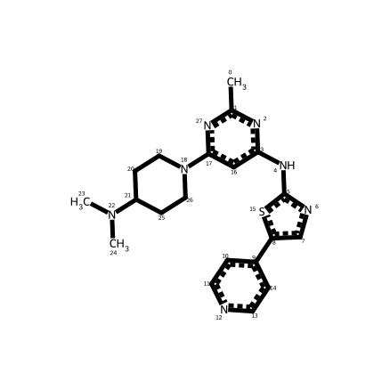 Cc1nc(Nc2ncc(-c3ccncc3)s2)cc(N2CCC(N(C)C)CC2)n1